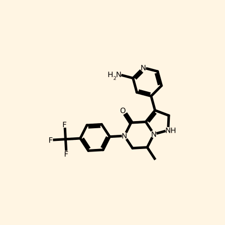 CC1CN(c2ccc(C(F)(F)F)cc2)C(=O)C2=C(c3ccnc(N)c3)CNN21